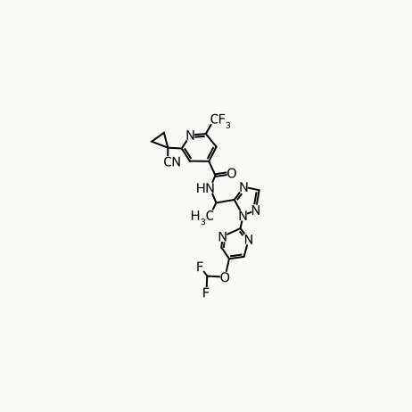 CC(NC(=O)c1cc(C(F)(F)F)nc(C2(C#N)CC2)c1)c1ncnn1-c1ncc(OC(F)F)cn1